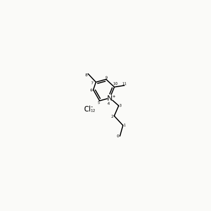 CCCC[n+]1ccc(C)cc1C.[Cl-]